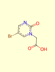 O=C(O)Cn1cc(Br)cnc1=O